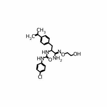 C=C(C)c1ccc(CC(NC(=O)Nc2ccc(Cl)cc2)C(N)=NOCCO)cc1